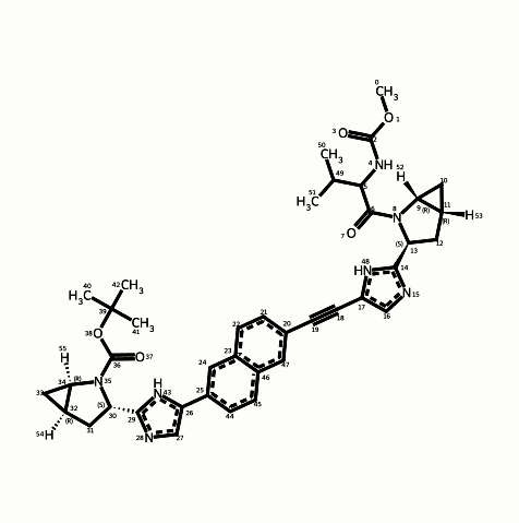 COC(=O)NC(C(=O)N1[C@@H]2C[C@@H]2C[C@H]1c1ncc(C#Cc2ccc3cc(-c4cnc([C@@H]5C[C@H]6C[C@H]6N5C(=O)OC(C)(C)C)[nH]4)ccc3c2)[nH]1)C(C)C